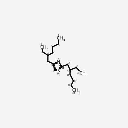 CCCCC(CC)Cc1csc(CC(CC)CCCC)n1